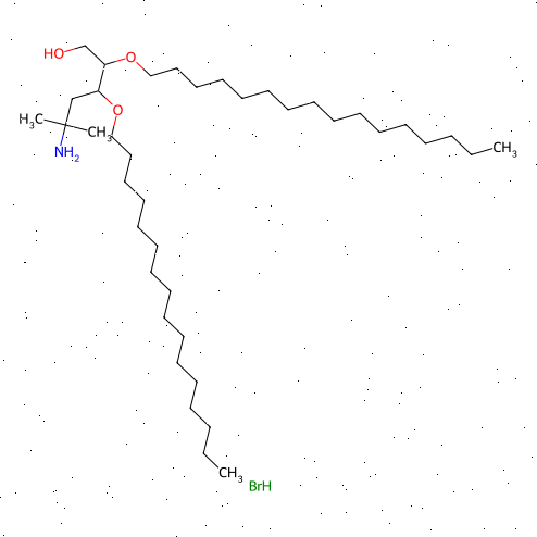 Br.CCCCCCCCCCCCCCCCOC(CO)C(CC(C)(C)N)OCCCCCCCCCCCCCCCC